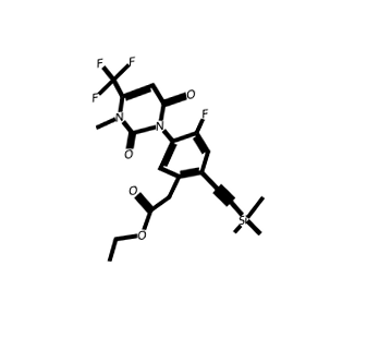 CCOC(=O)Cc1cc(-n2c(=O)cc(C(F)(F)F)n(C)c2=O)c(F)cc1C#C[Si](C)(C)C